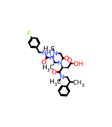 CC(CN(C)C(=O)[C@H](CC(=O)O)N1C(=O)CN(C)N(C(=O)NCc2ccc(F)cc2)[C@H]1C)c1ccccc1